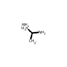 [AlH3].[CH2]C(N)N